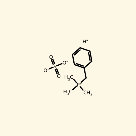 C[P+](C)(C)Cc1ccccc1.O=S(=O)([O-])[O-].[H+]